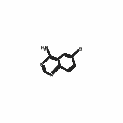 CCc1ccc2ncnc(N)c2c1